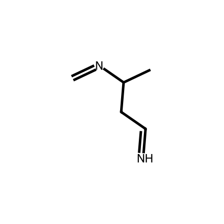 C=NC(C)CC=N